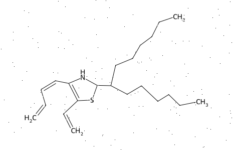 C=C/C=C\C1=C(C=C)SC(C(CCCCCC)CCCCCC)N1